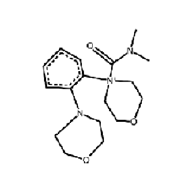 CN(C)C(=O)[N+]1(c2ccccc2N2CCOCC2)CCOCC1